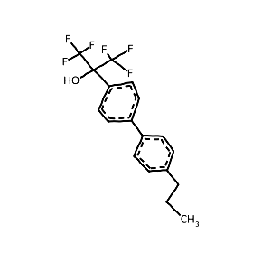 CCCc1ccc(-c2ccc(C(O)(C(F)(F)F)C(F)(F)F)cc2)cc1